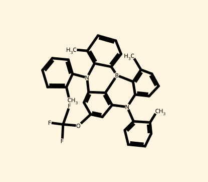 Cc1ccccc1N1c2cccc(C)c2B2c3cccc(C)c3N(c3ccccc3C)c3cc(OC(F)(F)F)cc1c32